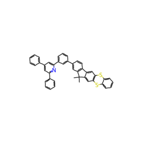 CC1(C)c2cc(-c3cccc(-c4cc(-c5ccccc5)cc(-c5ccccc5)n4)c3)ccc2-c2cc3c(cc21)Sc1ccccc1S3